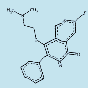 CN(C)CCOc1c(-c2ccccc2)[nH]c(=O)c2cc(F)ccc12